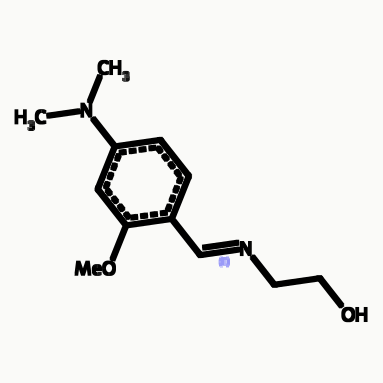 COc1cc(N(C)C)ccc1/C=N/CCO